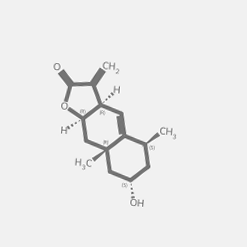 C=C1C(=O)O[C@@H]2C[C@@]3(C)C[C@@H](O)C[C@H](C)C3=C[C@H]12